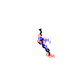 Nc1nc(OCCCC2CC2)nc2c1C(=O)N(c1ccc(N3CCC(CC(=O)O)CC3)nc1)CCO2